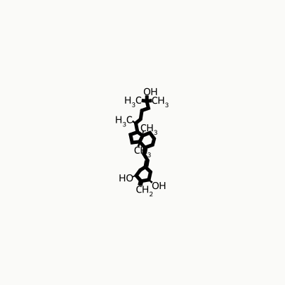 C=C1[C@H](O)CC(=C/C=C2\CCC[C@]3(C)C([C@@H](C)CCCC(C)(C)O)CC[C@@]23C)C[C@H]1O